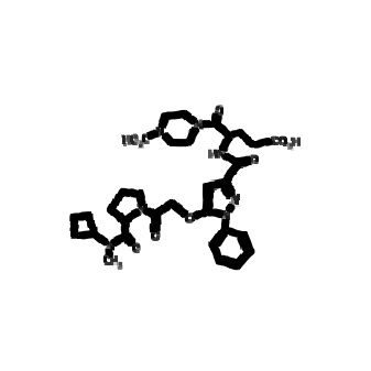 CN(C(=O)C1CCCN1C(=O)COc1cc(C(=O)NC(CCC(=O)O)C(=O)N2CCN(C(=O)O)CC2)nn1-c1ccccc1)C1CCC1